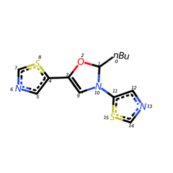 CCCCC1OC(c2cncs2)=[C]N1c1cncs1